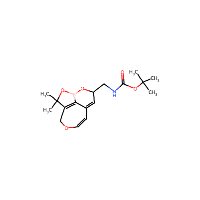 CC(C)(C)OC(=O)NCC1C=C2C=COCC3=C2B(O1)OC3(C)C